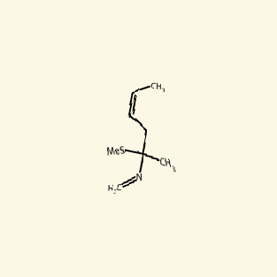 C=NC(C)(C/C=C\C)SC